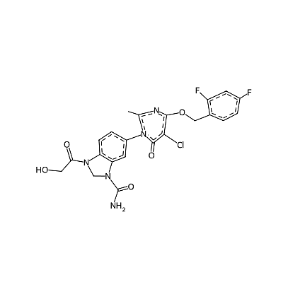 Cc1nc(OCc2ccc(F)cc2F)c(Cl)c(=O)n1-c1ccc2c(c1)N(C(N)=O)CN2C(=O)CO